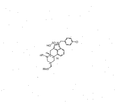 CCCN1C[C@H](CSC)C[C@@H]2c3cccc4c3c(cn4Cc3ccc(Cl)cc3)C[C@H]21.O=S(=O)(O)O